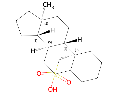 C[C@@]12CCC[C@H]1[C@@H]1CCC3CCCC[C@]3(CS(=O)(=O)O)[C@H]1CC2